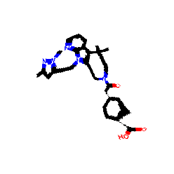 Cc1cc(Cn2c3c(c4cccnc42)C(C)(C)CN(C(=O)C[C@H]2CC[C@@H](C(=O)O)CC2)C3)n(C)n1